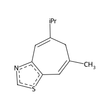 CC1=Cc2scnc2C=C(C(C)C)C1